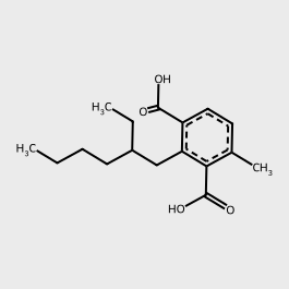 CCCCC(CC)Cc1c(C(=O)O)ccc(C)c1C(=O)O